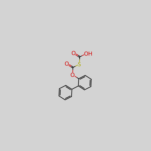 O=C(O)SC(=O)Oc1ccccc1-c1ccccc1